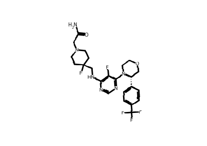 NC(=O)CN1CCC(F)(CNc2ncnc(N3CCOC[C@@H]3c3ccc(C(F)(F)F)cc3)c2F)CC1